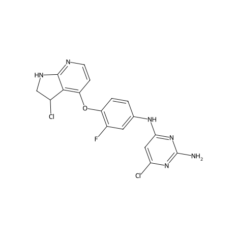 Nc1nc(Cl)cc(Nc2ccc(Oc3ccnc4c3C(Cl)CN4)c(F)c2)n1